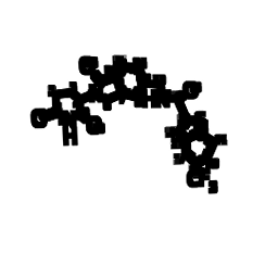 O=C1CCC(N2Cc3cc(CNC(=O)c4cc5cc(C(F)(F)F)ccc5s4)ccc3C2=O)C(=O)N1